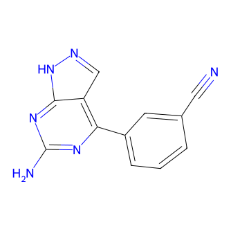 N#Cc1cccc(-c2nc(N)nc3[nH]ncc23)c1